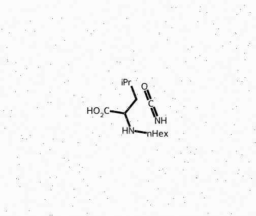 CCCCCCNC(CC(C)C)C(=O)O.N=C=O